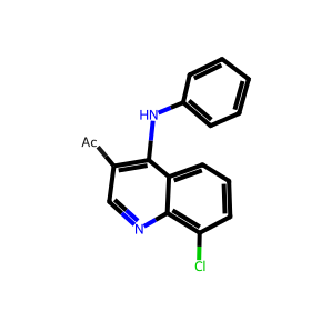 CC(=O)c1cnc2c(Cl)cccc2c1Nc1ccccc1